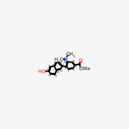 COC(=O)c1ccc(-c2ccc3cc(O)ccc3c2)c(N(C)C)c1